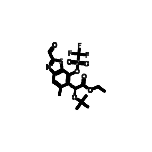 CCOC(=O)[C@@H](OC(C)(C)C)c1c(C)cc2nc(C=O)sc2c1OS(=O)(=O)C(F)(F)F